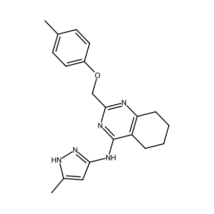 Cc1ccc(OCc2nc3c(c(Nc4cc(C)[nH]n4)n2)CCCC3)cc1